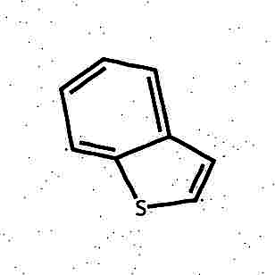 [c]1cc2ccc[c]c2s1